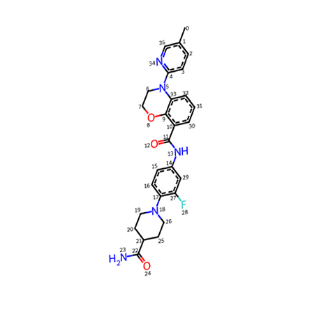 Cc1ccc(N2CCOc3c(C(=O)Nc4ccc(N5CCC(C(N)=O)CC5)c(F)c4)cccc32)nc1